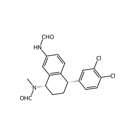 CN(C=O)[C@H]1CC[C@@H](c2ccc(Cl)c(Cl)c2)c2ccc(NC=O)cc21